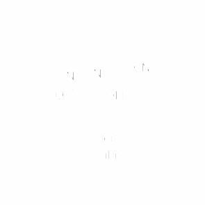 CC(C)Oc1cccc(-c2c(O)n(CCC#N)c3cccc[n+]3c2=O)c1